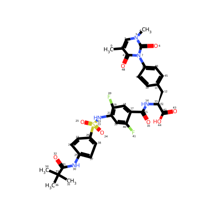 Cc1cn(C)c(=O)n(-c2ccc(C[C@H](NC(=O)c3cc(F)c(NS(=O)(=O)c4ccc(NC(=O)C(C)(C)C)cc4)cc3F)C(=O)O)cc2)c1=O